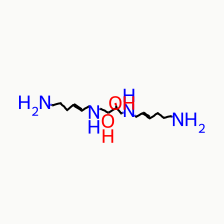 NCCCC=CCNCC(O)C(O)CNCC=CCCCN